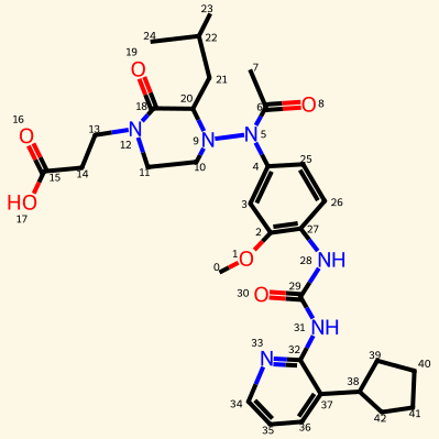 COc1cc(N(C(C)=O)N2CCN(CCC(=O)O)C(=O)C2CC(C)C)ccc1NC(=O)Nc1ncccc1C1CCCC1